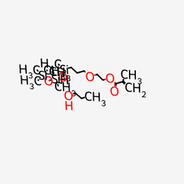 C=C(C)C(=O)OCCOCCC[SiH](C)O[Si](C)(C)O[Si](C)(C)C.CCCO